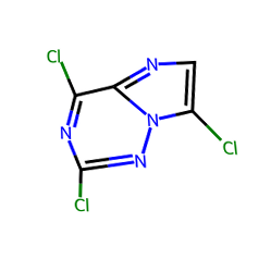 Clc1nc(Cl)c2ncc(Cl)n2n1